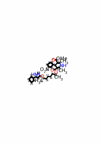 COC(=O)C1=C(C)NC(C)=C(C(=O)OC(C)CCCCC(C)Oc2cc(-c3ccccc3)[nH]n2)C1c1cccc([N+](=O)[O-])c1